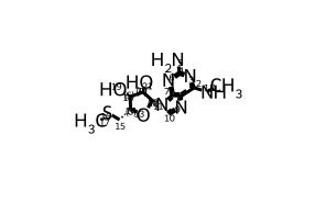 CNc1nc(N)nc2c1ncn2[C@@H]1O[C@H](CSC)[C@@H](O)[C@H]1O